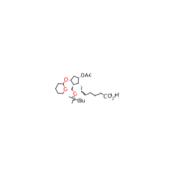 CC(=O)O[C@H]1C[C@@H](OC2CCCCO2)[C@H](CO[Si](C)(C)C(C)(C)C)[C@H]1C/C=C\CCCC(=O)O